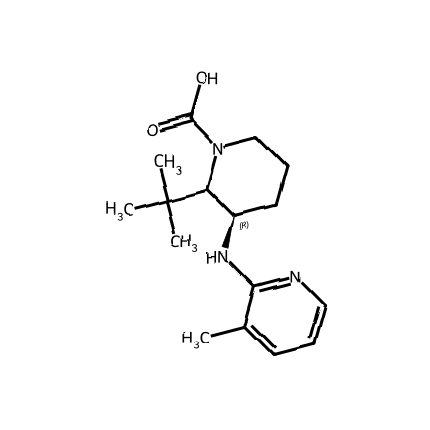 Cc1cccnc1N[C@@H]1CCCN(C(=O)O)C1C(C)(C)C